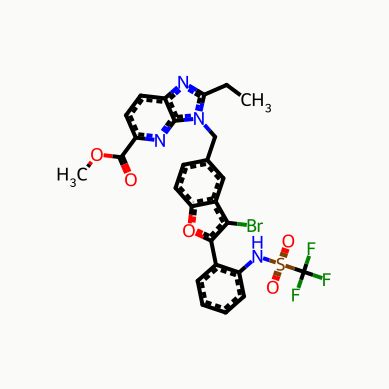 CCc1nc2ccc(C(=O)OC)nc2n1Cc1ccc2oc(-c3ccccc3NS(=O)(=O)C(F)(F)F)c(Br)c2c1